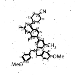 COc1ccc(CN(Cc2ccc(OC)cc2)c2cc(C)cc(-c3ccc4c(N5CCC(C#N)CC5)nc(F)nc4c3F)n2)cc1